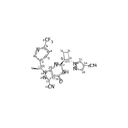 C[C@@H](c1ccc(C(F)(F)F)nc1)n1nc(C#N)c2c(=O)[nH]c([C@H]3CC[C@@H]3n3cc(C#N)cn3)nc21